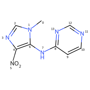 Cn1cnc([N+](=O)[O-])c1Nc1ccncn1